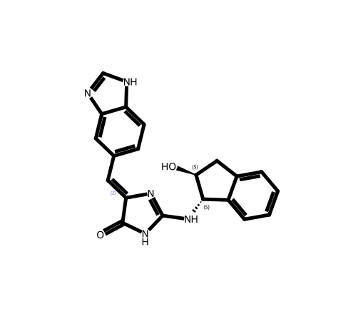 O=C1NC(N[C@H]2c3ccccc3C[C@@H]2O)=N/C1=C\c1ccc2[nH]cnc2c1